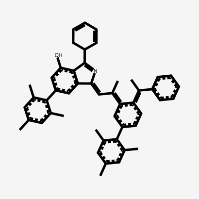 CC(/C=C1\N=C(C2C=CC=CC2)c2c(O)cc(-c3c(C)cc(C)cc3C)cc21)=c1/cc(-c2c(C)cc(C)cc2C)cc/c1=C(/C)c1ccccc1